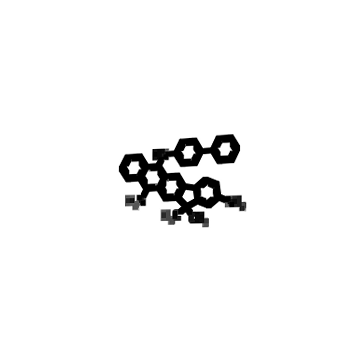 CC1(C)c2cc(N)ccc2-c2cc3c(Nc4ccc(-c5ccccc5)cc4)c4ccccc4c(N)c3cc21